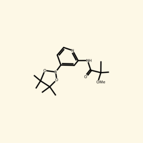 COC(C)(C)C(=O)Nc1cc(B2OC(C)(C)C(C)(C)O2)ccn1